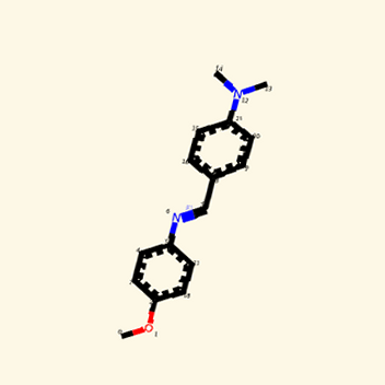 COc1ccc(/N=C/c2ccc(N(C)C)cc2)cc1